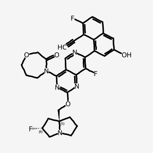 C#Cc1c(F)ccc2cc(O)cc(-c3ncc4c(N5CCCOCC5=O)nc(OC[C@@]56CCCN5C[C@H](F)C6)nc4c3F)c12